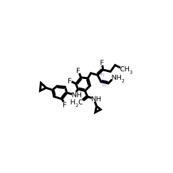 C=C(NC1CC1)c1cc(CC(/C=C\N)=C(\F)CCC)c(F)c(F)c1Nc1ccc(C2CC2)cc1F